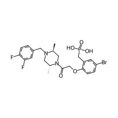 C[C@@H]1CN(Cc2ccc(F)c(F)c2)[C@@H](C)CN1C(=O)COc1ccc(Br)cc1CP(=O)(O)O